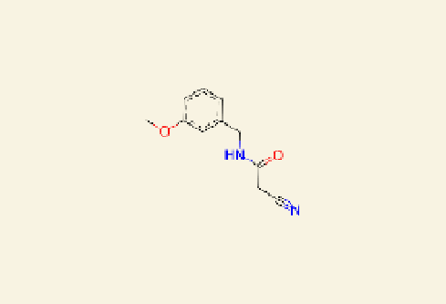 COc1cccc(CNC(=O)CC#N)c1